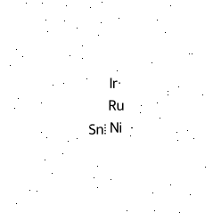 [Ir].[Ni].[Ru].[Sn]